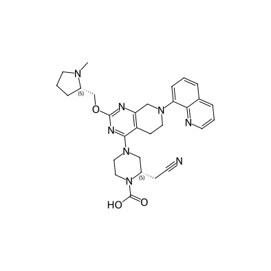 CN1CCC[C@H]1COc1nc2c(c(N3CCN(C(=O)O)[C@@H](CC#N)C3)n1)CCN(c1cccc3cccnc13)C2